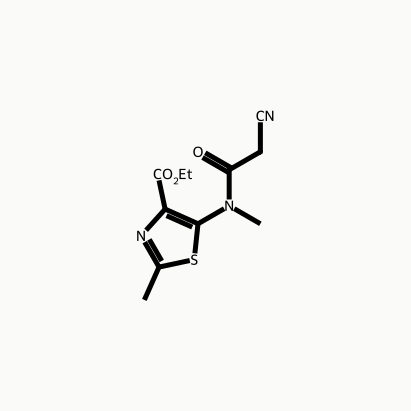 CCOC(=O)c1nc(C)sc1N(C)C(=O)CC#N